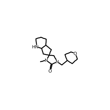 CN1C(=O)N(CC2CCOCC2)CC12CC1CCCNC1C2